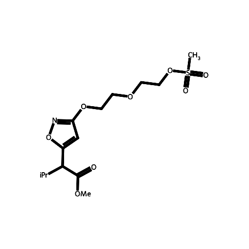 COC(=O)C(c1cc(OCCOCCOS(C)(=O)=O)no1)C(C)C